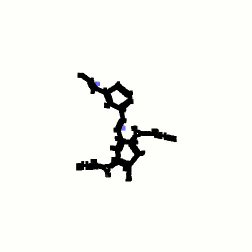 C/C=C/c1cccc(/C=C/c2cc(OCCCCCC)c(C)cc2OCCCCCC)c1